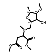 COC(=O)CC(C(=O)OC)N(C)C[C@H]1O[C@@H](C)[C@@H](OC)C1O